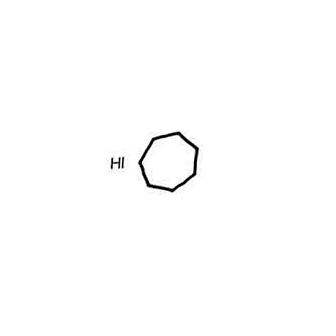 C1CCCCCC1.I